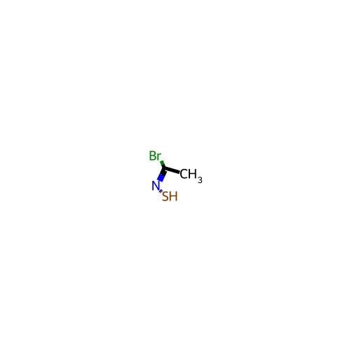 C/C(Br)=N\S